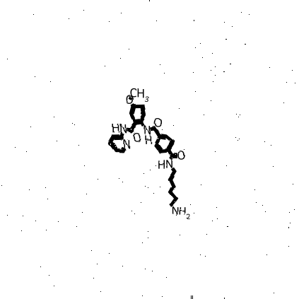 COc1ccc(NC(=O)c2ccc(C(=O)NCCCCCCN)cc2)c(C(=O)Nc2ccccn2)c1